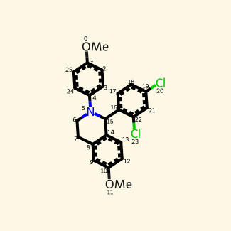 COc1ccc(N2CCc3cc(OC)ccc3C2c2ccc(Cl)cc2Cl)cc1